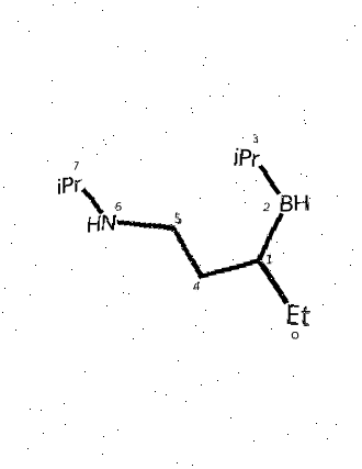 CCC(BC(C)C)CCNC(C)C